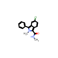 CNC(=O)c1c2ccc(Cl)cc2c(-c2ccccc2)n1C